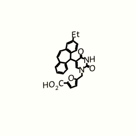 CCc1ccc2c(c1)C=Cc1ccccc1C2c1cn(Cc2ccc(C(=O)O)o2)c(=O)[nH]c1=O